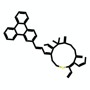 C=C/C1=C(\C=C/C)C(=C)CCC(=C)C(C)(C)C(=C/C)/C(=C\C=C\c2ccc3c4ccccc4c4ccccc4c3c2)CCS1